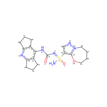 NS(=O)(=NC(=O)Nc1c2c(nc3c1CCC3)CCC2)c1cnn2c1OCCCC2